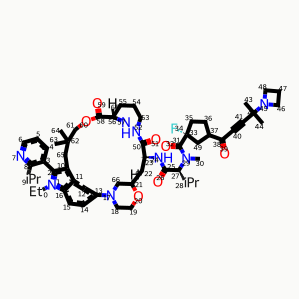 CCn1c(-c2cccnc2C(C)C)c2c3cc(ccc31)N1CCO[C@@H](C[C@H](NC(=O)[C@H](C(C)C)N(C)C(=O)[C@@]3(F)CCC(C(=O)C#CC(C)(C)N4CCC4)C3)C(=O)N3CCC[C@H](N3)C(=O)OCC(C)(C)C2)C1